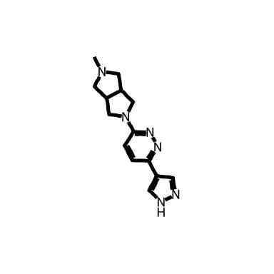 CN1CC2CN(c3ccc(-c4cn[nH]c4)nn3)CC2C1